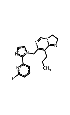 CCCC1=C(Cn2ccnc2-c2cccc(F)n2)N=CN2CCN=C12